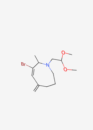 C=C1/C=C(/Br)C(C)N(CC(OC)OC)CCC1